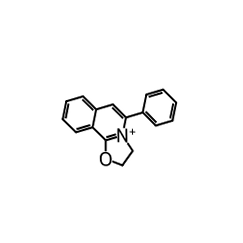 c1ccc(-c2cc3ccccc3c3[n+]2CCO3)cc1